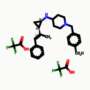 C/C(=C\c1ccccc1)[C@@H]1C[C@H]1NC1CCN(Cc2ccc(C(=O)O)cc2)CC1.O=C(O)C(F)(F)F.O=C(O)C(F)(F)F